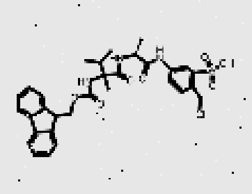 CC(C)C(C)(NC(=O)OCC1c2ccccc2-c2ccccc21)C(=O)N[C@@H](C)C(=O)Nc1ccc(CCl)c(S(=O)(=O)O)c1